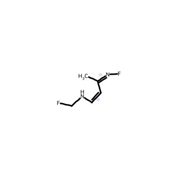 CC(/C=C\NCF)=N/F